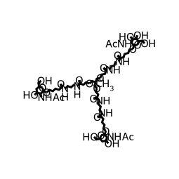 CC(=O)NC1C(O)CC(CO)OC1OCCCCC(=O)NCCCNC(=O)CCOCC(C)(COCCC(=O)NCCCNC(=O)CCCCOC1OC(CO)CC(O)C1NC(C)=O)COCCC(=O)NCCCNC(=O)CCCCOC1OC(CO)C(O)C(O)C1NC(C)=O